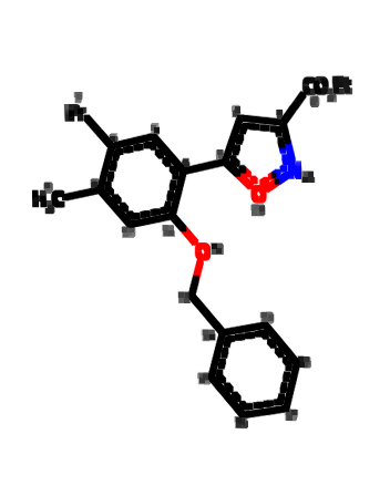 CCOC(=O)c1cc(-c2cc(C(C)C)c(C)cc2OCc2ccccc2)on1